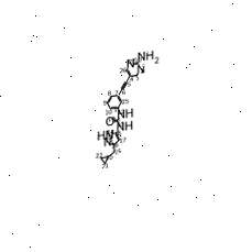 Nc1ncc(C#Cc2cccc(NC(=O)Nc3cc(CC4CC4)n[nH]3)c2)cn1